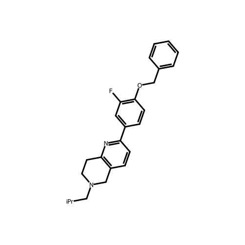 CC(C)CN1CCc2nc(-c3ccc(OCc4ccccc4)c(F)c3)ccc2C1